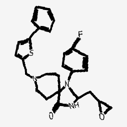 O=C1NC(CC2CO2)N(c2ccc(F)cc2)C12CCN(Cc1ccc(-c3ccccc3)s1)CC2